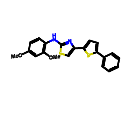 COc1ccc(Nc2nc(-c3ccc(-c4ccccc4)s3)cs2)c(OC)c1